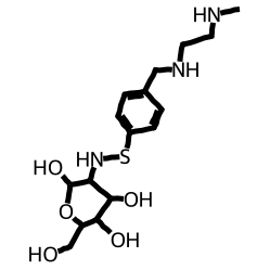 CNCCNCc1ccc(SNC2C(O)OC(CO)C(O)C2O)cc1